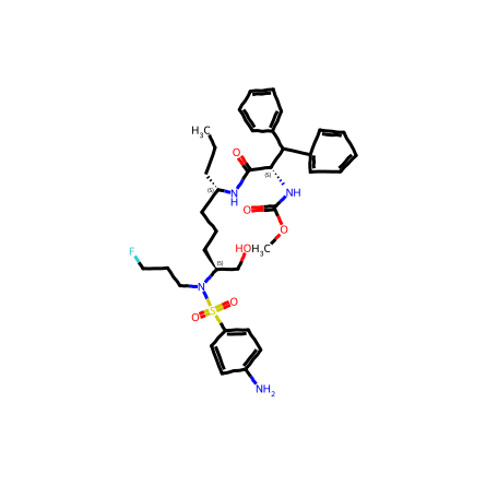 CCC[C@@H](CCC[C@@H](CO)N(CCCF)S(=O)(=O)c1ccc(N)cc1)NC(=O)[C@@H](NC(=O)OC)C(c1ccccc1)c1ccccc1